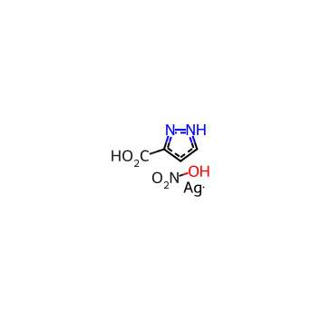 O=C(O)c1cc[nH]n1.O=[N+]([O-])O.[Ag]